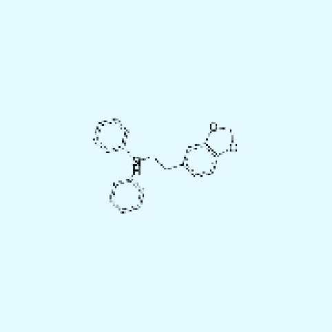 c1ccc([SiH](CCc2ccc3c(c2)OCO3)c2ccccc2)cc1